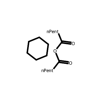 C1CCCCC1.CCCCCC(=O)OC(=O)CCCCC